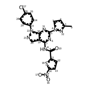 Cc1ccn(-c2nc(NC(=O)c3ccc([N+](=O)[O-])s3)c3cnn(-c4ccc(Cl)cc4)c3n2)n1